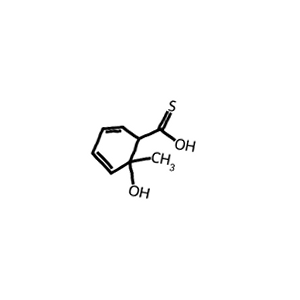 CC1(O)C=CC=CC1C(O)=S